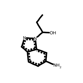 CCC(O)n1ncc2ccc(N)cc21